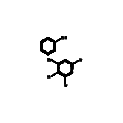 Brc1cc(Br)c(Br)c(Br)c1.Sc1ccccc1